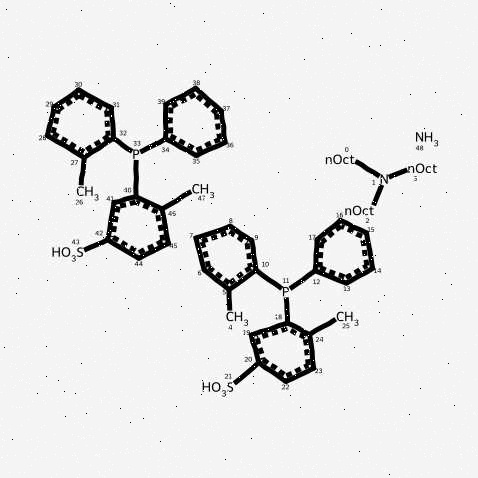 CCCCCCCCN(CCCCCCCC)CCCCCCCC.Cc1ccccc1P(c1ccccc1)c1cc(S(=O)(=O)O)ccc1C.Cc1ccccc1P(c1ccccc1)c1cc(S(=O)(=O)O)ccc1C.N